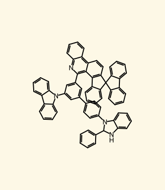 c1ccc(C2Nc3ccccc3N2c2ccc(-c3cc(-c4nc5ccccc5c5ccc6c(c45)-c4ccccc4C64c5ccccc5-c5ccccc54)cc(-n4c5ccccc5c5ccccc54)c3)cc2)cc1